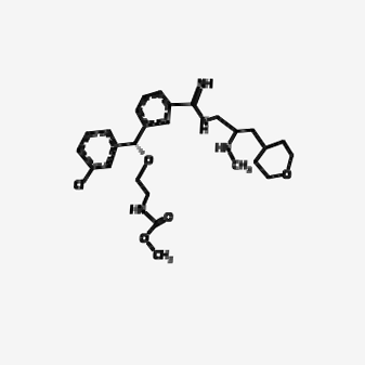 CNC(CNC(=N)c1cccc([C@H](OCCNC(=O)OC)c2cccc(Cl)c2)c1)CC1CCOCC1